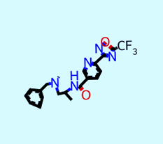 CC(CN(C)Cc1ccccc1)NC(=O)c1ccc(-c2noc(C(F)(F)F)n2)nc1